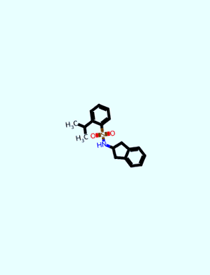 CC(C)c1ccccc1S(=O)(=O)NC1Cc2ccccc2C1